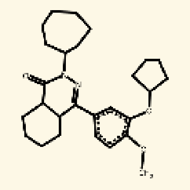 COc1ccc(C2=NN(C3CCCCCC3)C(=O)C3CCCCC23)cc1OC1CCCC1